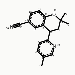 Cc1ccc(C2CC(C)(C)Oc3ccc(C#N)cc32)nc1